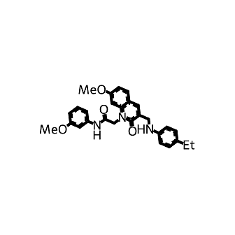 CCc1ccc(NCc2cc3ccc(OC)cc3n(CC(=O)Nc3cccc(OC)c3)c2=O)cc1